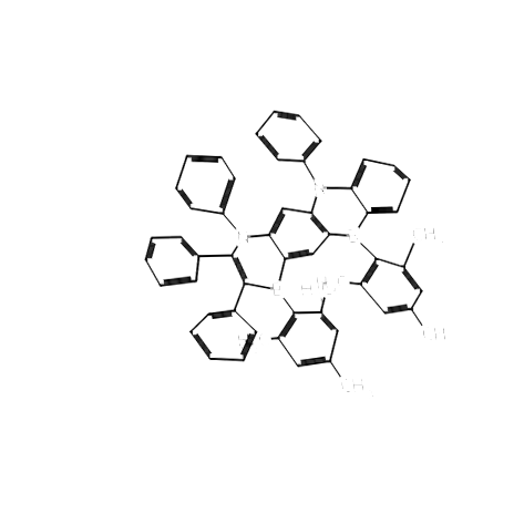 Cc1cc(C)c(B2C(c3ccccc3)=C(c3ccccc3)N(c3ccccc3)c3cc4c(cc32)B(c2c(C)cc(C)cc2C)c2ccccc2N4c2ccccc2)c(C)c1